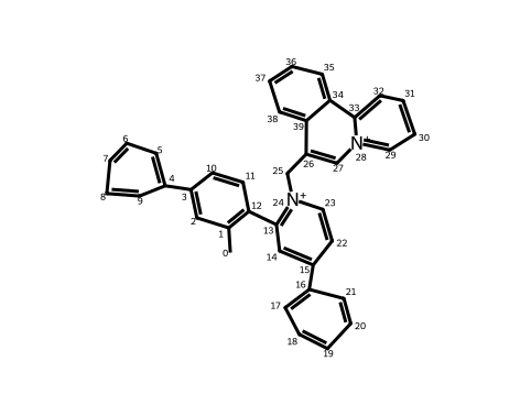 Cc1cc(-c2ccccc2)ccc1-c1cc(-c2ccccc2)cc[n+]1Cc1c[n+]2ccccc2c2ccccc12